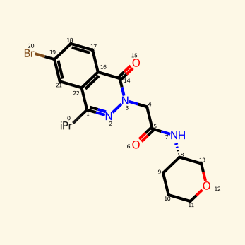 CC(C)c1nn(CC(=O)N[C@H]2CCCOC2)c(=O)c2ccc(Br)cc12